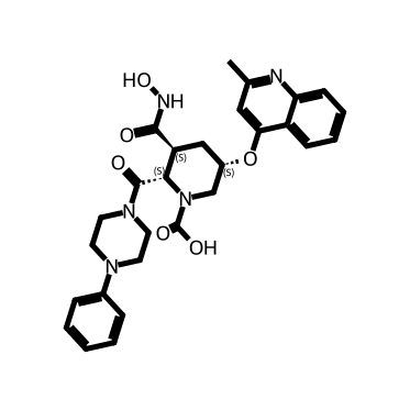 Cc1cc(O[C@H]2C[C@H](C(=O)NO)[C@@H](C(=O)N3CCN(c4ccccc4)CC3)N(C(=O)O)C2)c2ccccc2n1